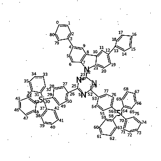 c1ccc(-c2ccc3c(c2)c2cc(-c4ccccc4)ccc2n3-c2nc(-c3ccc([Si](c4ccccc4)(c4ccccc4)c4ccccc4)cc3)nc(-c3ccc([Si](c4ccccc4)(c4ccccc4)c4ccccc4)cc3)n2)cc1